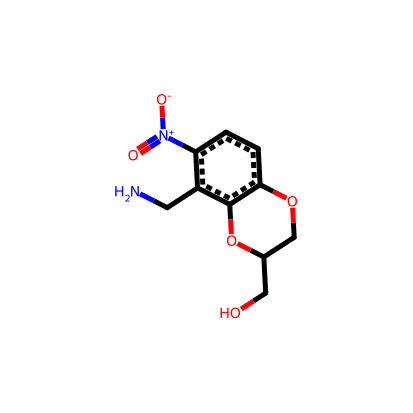 NCc1c([N+](=O)[O-])ccc2c1OC(CO)CO2